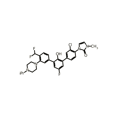 CC(C)N1CCN(c2cc(-c3cc(F)cc(-c4ccc(-n5ccn(C)c5=O)c(Cl)c4)c3O)ccc2C(F)F)CC1